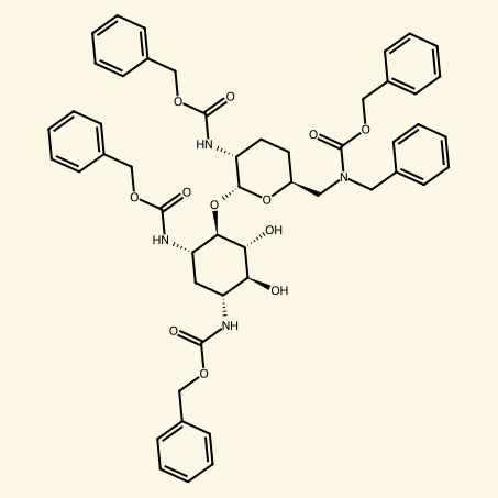 O=C(N[C@H]1C[C@@H](NC(=O)OCc2ccccc2)[C@H](O)[C@@H](O)[C@@H]1O[C@H]1O[C@H](CN(Cc2ccccc2)C(=O)OCc2ccccc2)CC[C@H]1NC(=O)OCc1ccccc1)OCc1ccccc1